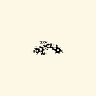 CC(C)(C)C[C@H](NC(=O)/C=C/c1ccc(Cl)cc1Cl)C(=O)NC(C=NO)C[C@@H]1CCNC1=O